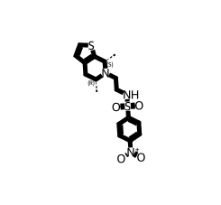 C[C@@H]1Cc2ccsc2[C@H](C)N1CCNS(=O)(=O)c1ccc([N+](=O)[O-])cc1